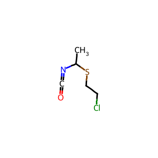 CC(N=C=O)SCCCl